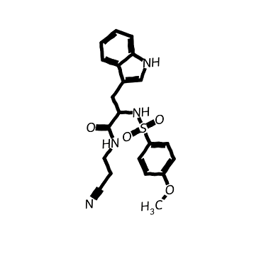 COc1ccc(S(=O)(=O)NC(Cc2c[nH]c3ccccc23)C(=O)NCCC#N)cc1